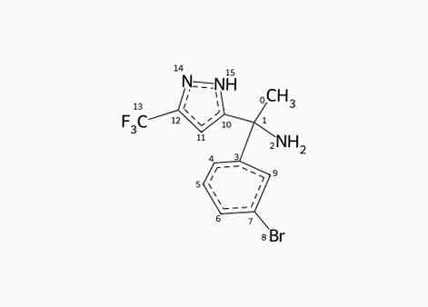 CC(N)(c1cccc(Br)c1)c1cc(C(F)(F)F)n[nH]1